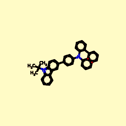 CC(C)(C)n1c2ccccc2c2cc(-c3ccc(N(c4ccccc4)c4ccccc4-c4ccccc4)cc3)ccc21